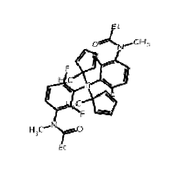 CCC(=O)N(C)c1ccc(F)[c]([Ti]([c]2c(F)ccc(N(C)C(=O)CC)c2F)([C]2(C)C=CC=C2)[C]2(C)C=CC=C2)c1F